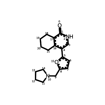 O=c1[nH]cc(-c2ccc(CN3CCCC3)o2)c2c1CCCC2